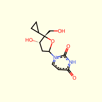 O=c1ccn(C2C[C@H](O)[C@](CO)(C3CC3)O2)c(=O)[nH]1